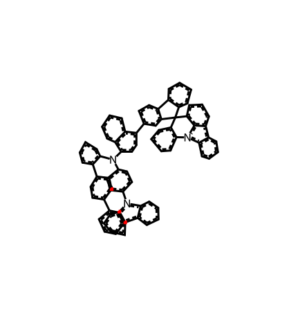 c1ccc(-c2ccc(-c3ccccc3N(c3ccc(-n4c5ccccc5c5ccccc54)cc3)c3ccc(-c4ccc5c(c4)C4(c6ccccc6-5)c5ccccc5-n5c6ccccc6c6cccc4c65)c4ccccc34)cc2)cc1